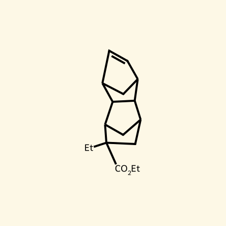 CCOC(=O)C1(CC)CC2CC1C1C3C=CC(C3)C21